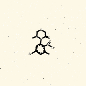 CC1COCC(=O)N1c1cc(Br)cc(F)c1[N+](=O)[O-]